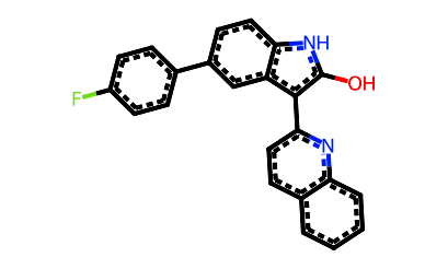 Oc1[nH]c2ccc(-c3ccc(F)cc3)cc2c1-c1ccc2ccccc2n1